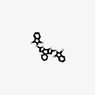 O=c1c(=Nc2cc3c(s2)-c2sc(N=c4c(=O)c5ccccc5c4=O)cc2C32CCCCC2)c(=O)c2ccccc12